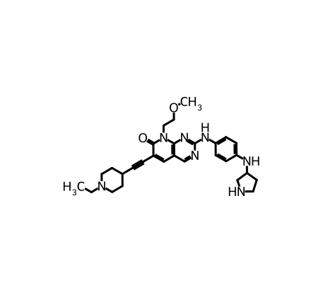 CCN1CCC(C#Cc2cc3cnc(Nc4ccc(NC5CCNC5)cc4)nc3n(CCOC)c2=O)CC1